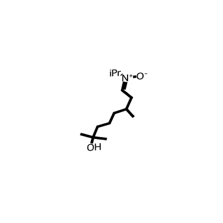 CC(C/C=[N+](\[O-])C(C)C)CCCC(C)(C)O